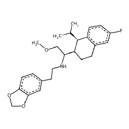 COCC(NCCc1ccc2c(c1)OCO2)[C]1CCc2cc(F)ccc2[C@@H]1C(C)C